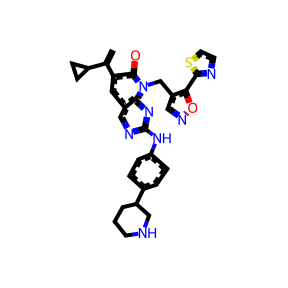 C=C(c1cc2cnc(Nc3ccc(C4CCCNC4)cc3)nc2n(Cc2cnoc2-c2nccs2)c1=O)C1CC1